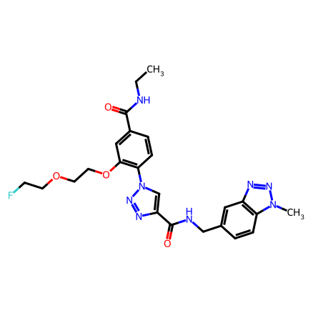 CCNC(=O)c1ccc(-n2cc(C(=O)NCc3ccc4c(c3)nnn4C)nn2)c(OCCOCCF)c1